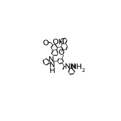 C=C(Nc1ccccc1N)c1cc(COc2ccc3ccccc3c2-c2c(O)c(C=O)cc3ccccc23)cc(-c2nc3ccccc3[nH]2)c1